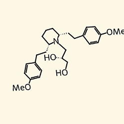 COc1ccc(CC[C@H]2CCC[C@@H](CCc3ccc(OC)cc3)N2C[C@@H](O)CO)cc1